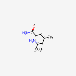 CCCC(CCC(N)=O)CC(N)C(=O)O